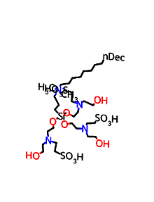 CCCCCCCCCCCCCCCCCC[N+](C)(C)CCC[Si](OCCN(CCO)CCS(=O)(=O)O)(OCCN(CCO)CCS(=O)(=O)O)OCCN(CCO)CCS(=O)(=O)O